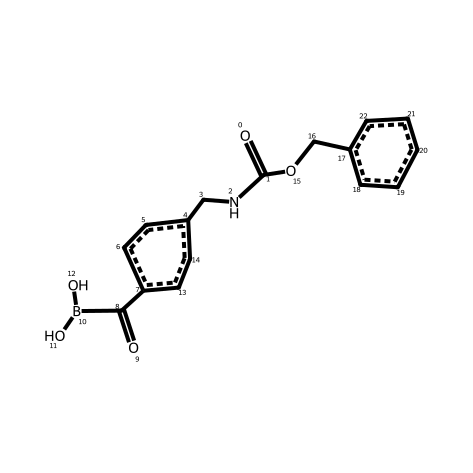 O=C(NCc1ccc(C(=O)B(O)O)cc1)OCc1ccccc1